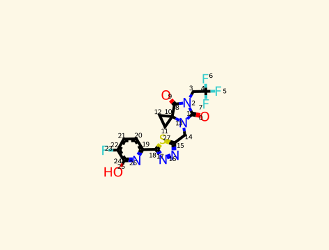 O=C1N(CC(F)(F)F)C(=O)C2(CC2)N1Cc1nnc(-c2ccc(F)c(O)n2)s1